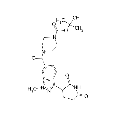 Cn1nc(C2CCC(=O)NC2=O)c2ccc(C(=O)N3CCN(C(=O)OC(C)(C)C)CC3)cc21